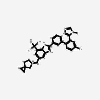 Cn1cnnc1-c1cc(F)ccc1-c1cccc(-c2nc3cc(CN4CCC5(CC5)C4)cc(C(F)(F)F)c3o2)c1